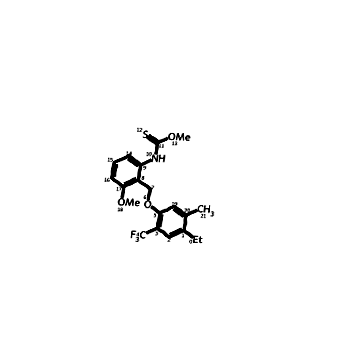 CCc1cc(C(F)(F)F)c(OCc2c(NC(=S)OC)cccc2OC)cc1C